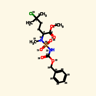 COC(=O)C(CCC(C)(C)Cl)N(C)S(=O)(=O)NC(=O)OCc1ccccc1